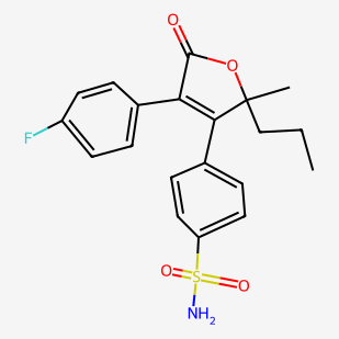 CCCC1(C)OC(=O)C(c2ccc(F)cc2)=C1c1ccc(S(N)(=O)=O)cc1